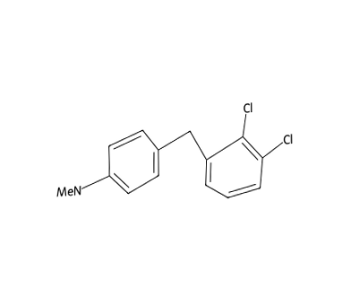 CNc1ccc(Cc2cccc(Cl)c2Cl)cc1